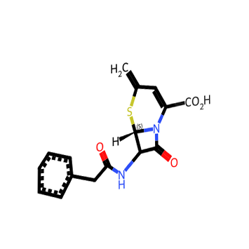 C=C1C=C(C(=O)O)N2C(=O)C(NC(=O)Cc3ccccc3)[C@@H]2S1